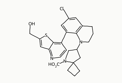 O=C(O)N1CC(N2CCCc3cc(Cl)cc(-c4ccnc5cc(CO)sc45)c32)CC12CCC2